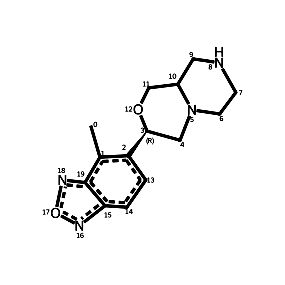 Cc1c([C@@H]2CN3CCNCC3CO2)ccc2nonc12